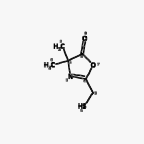 CC1(C)N=C(CS)OC1=O